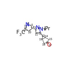 CC(C)n1nc(-c2cncc(C(F)(F)F)c2)cc1C1C2CC(=O)CC21